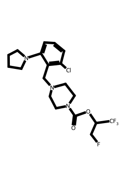 O=C(OC(CF)C(F)(F)F)N1CCN(Cc2c(Cl)cccc2N2CCCC2)CC1